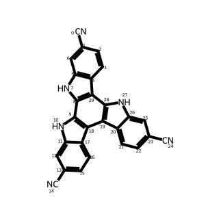 N#Cc1ccc2c(c1)[nH]c1c3[nH]c4cc(C#N)ccc4c3c3c4ccc(C#N)cc4[nH]c3c21